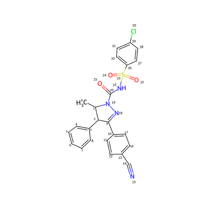 CC1C(c2ccccc2)C(c2ccc(C#N)cc2)=NN1C(=O)NS(=O)(=O)c1ccc(Cl)cc1